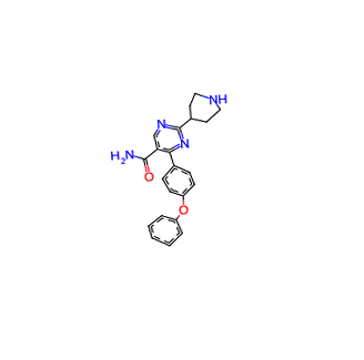 NC(=O)c1cnc(C2CCNCC2)nc1-c1ccc(Oc2ccccc2)cc1